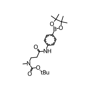 CN(CCC(=O)Nc1ccc(B2OC(C)(C)C(C)(C)O2)cc1)C(=O)OC(C)(C)C